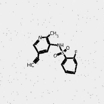 C#Cc1cnc(C)c(NS(=O)(=O)c2ccccc2F)c1